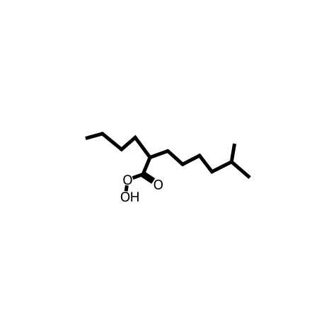 CCCCC(CCCCC(C)C)C(=O)OO